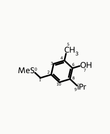 CSCc1cc(C)c(O)c(C(C)C)c1